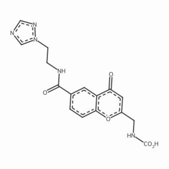 O=C(O)NCc1cc(=O)c2cc(C(=O)NCCn3cncn3)ccc2o1